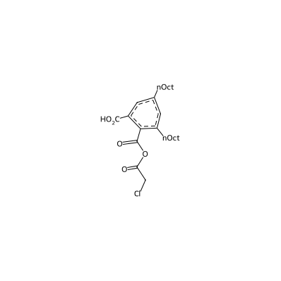 CCCCCCCCc1cc(CCCCCCCC)c(C(=O)OC(=O)CCl)c(C(=O)O)c1